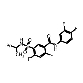 CC(C)C(C)NS(=O)(=O)c1cc(C(=O)Nc2ccc(F)c(F)c2)c(F)cc1F